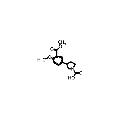 COC(=O)c1cc(C2CCN(C(=O)O)C2)ccc1OC